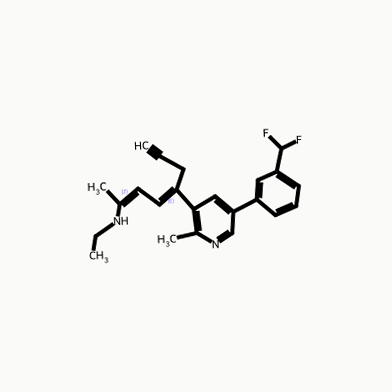 C#CC/C(=C\C=C(\C)NCC)c1cc(-c2cccc(C(F)F)c2)cnc1C